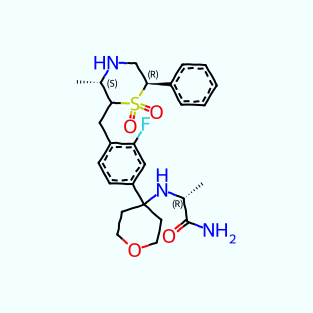 C[C@@H]1NC[C@@H](c2ccccc2)S(=O)(=O)C1Cc1ccc(C2(N[C@H](C)C(N)=O)CCOCC2)cc1F